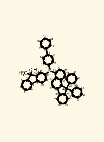 CC1(C)c2ccccc2-c2ccc(N(c3ccc(-c4ccccc4)cc3)c3cccc4c5c(ccc34)-c3ccccc3C5(c3ccccc3)c3ccccc3)cc21